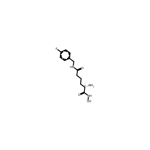 N[C@@H](CCCC(=O)NCc1ccc(F)cc1)C(=O)NO